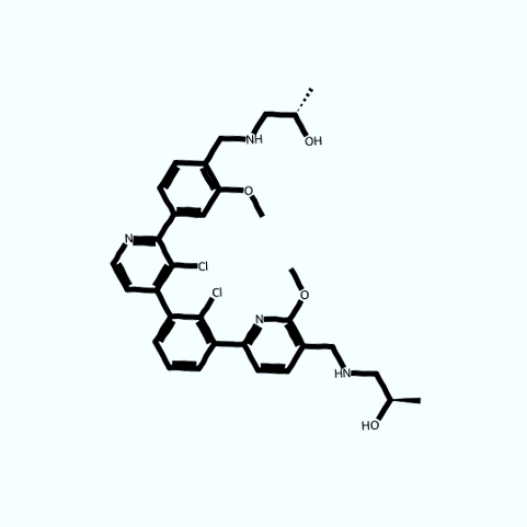 COc1cc(-c2nccc(-c3cccc(-c4ccc(CNC[C@@H](C)O)c(OC)n4)c3Cl)c2Cl)ccc1CNC[C@H](C)O